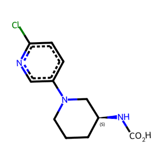 O=C(O)N[C@H]1CCCN(c2ccc(Cl)nc2)C1